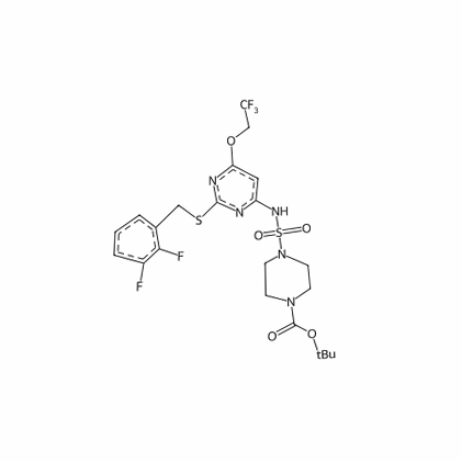 CC(C)(C)OC(=O)N1CCN(S(=O)(=O)Nc2cc(OCC(F)(F)F)nc(SCc3cccc(F)c3F)n2)CC1